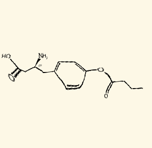 CCCC(=O)Oc1ccc(C[C@H](N)C(=O)O)cc1